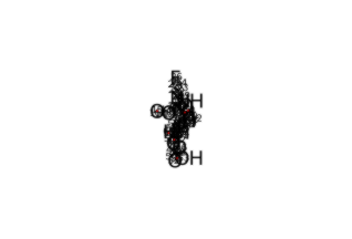 C=C(C)[C@@H]1CC[C@]2(C(=O)N3C[C@H](OCCOC)C[C@H]3c3nc(-c4ccc(F)cc4)c[nH]3)CC[C@]3(C)[C@H](CC[C@@H]4[C@@]5(C)CC[C@H](OC(=O)CC(C)(C)C(=O)O)C(C)(C)[C@@H]5CC[C@]43C)[C@@H]12